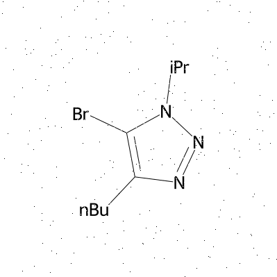 CCCCc1nnn(C(C)C)c1Br